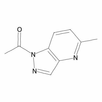 CC(=O)n1ncc2nc(C)ccc21